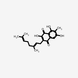 CC(C)=CCC/C(C)=C/CC1=C(O)C(=O)c2c(cc(O)c(C)c2O)C1=O